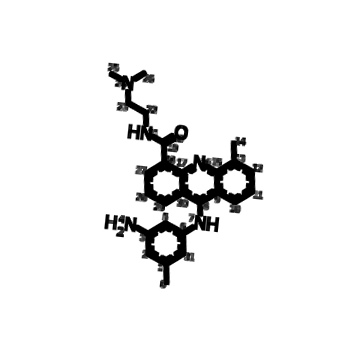 Cc1cc(N)cc(Nc2c3cccc(C)c3nc3c(C(=O)NCCN(C)C)cccc23)c1